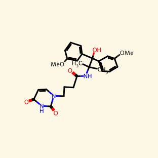 COc1cccc(C(O)(c2cccc(OC)c2)C(C)(C)NC(=O)CCCn2ccc(=O)[nH]c2=O)c1